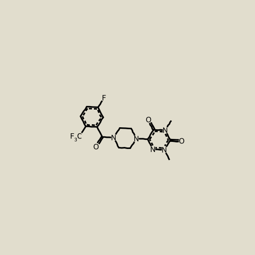 Cn1nc(N2CCN(C(=O)c3cc(F)ccc3C(F)(F)F)CC2)c(=O)n(C)c1=O